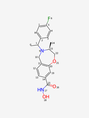 CC(c1ccc(F)cc1)N1Cc2ccc(C(=O)NO)cc2OC[C@@H]1C